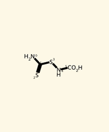 NC(=S)SNC(=O)O